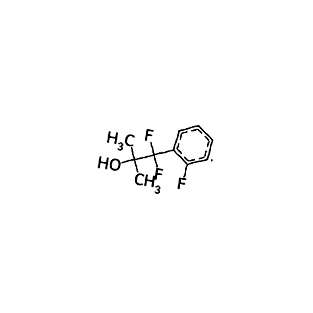 CC(C)(O)C(F)(F)c1ccc[c]c1F